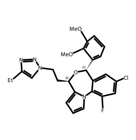 [CH2]Cc1cn(CC[C@H]2O[C@H](c3cccc(OC)c3OC)c3cc(Cl)cc(F)c3-n3cccc32)nn1